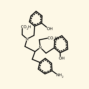 Nc1ccc(CC(CN(CC(=O)O)Cc2ccccc2O)N(CC(=O)O)Cc2ccccc2O)cc1